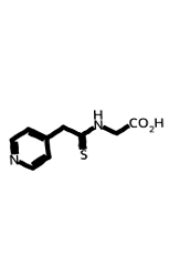 O=C(O)CNC(=S)Cc1ccncc1